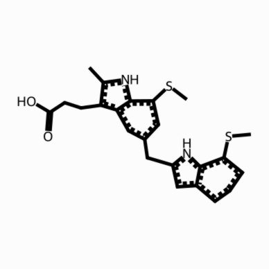 CSc1cccc2cc(Cc3cc(SC)c4[nH]c(C)c(CCC(=O)O)c4c3)[nH]c12